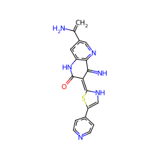 C=C(N)c1cnc2c(c1)NC(=O)/C(=C1/NC=C(c3ccncc3)S1)C2=N